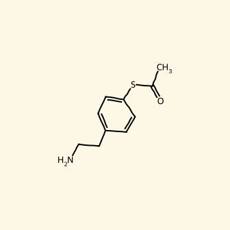 CC(=O)Sc1ccc(CCN)cc1